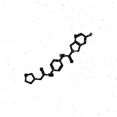 O=C(CC1CCOC1)Nc1ccc(NC(=O)N2Cc3cc(F)cnc3C2)cc1